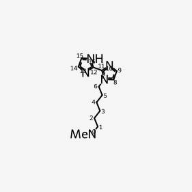 CNCCCCCCn1ccnc1-c1ncc[nH]1